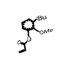 C=CC(=O)Oc1cccc(C(C)(C)C)c1OC